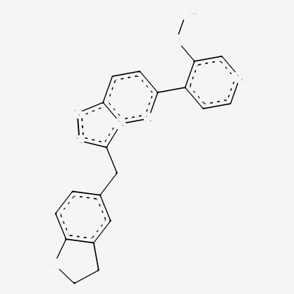 COc1cnccc1-c1ccc2nnc(Cc3ccc4c(c3)CCO4)n2n1